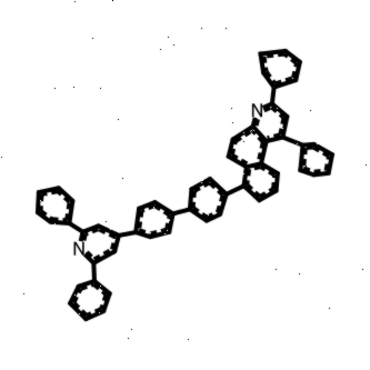 c1ccc(-c2cc(-c3ccc(-c4ccc(-c5cccc6c5ccc5nc(-c7ccccc7)cc(-c7ccccc7)c56)cc4)cc3)cc(-c3ccccc3)n2)cc1